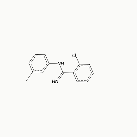 Cc1cccc(NC(=N)c2ccccc2Cl)c1